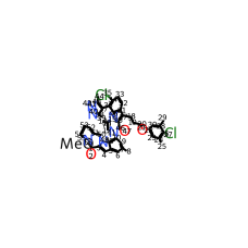 COC(=O)c1cc2cc(C)cc(N3C[C@@H](C)n4c(c(CCCOc5cc(C)c(Cl)c(C)c5)c5ccc(Cl)c(-c6c(C)nn(C)c6C)c54)C3=O)c2n1Cc1ccccn1